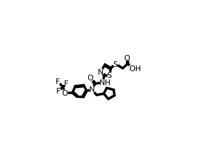 O=C(O)CSc1cnc(NC(=O)N(CC2CCCC2)c2ccc(OC(F)(F)F)cc2)s1